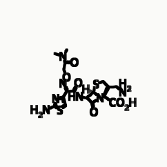 CN(C)C(=O)CO/N=C(\C(=O)NC1C(=O)N2C(C(=O)O)=C(CN)CS[C@H]12)c1csc(N)n1